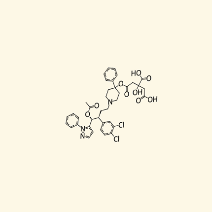 CC(=O)O[C@H](c1ccnn1-c1ccccc1)[C@@H](CCN1CCC(OC(=O)CC(O)(CC(=O)O)C(=O)O)(c2ccccc2)CC1)c1ccc(Cl)c(Cl)c1